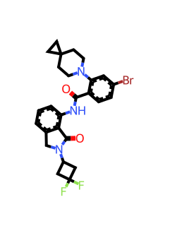 O=C(Nc1cccc2c1C(=O)N(C1CC(F)(F)C1)C2)c1ccc(Br)cc1N1CCC2(CC1)CC2